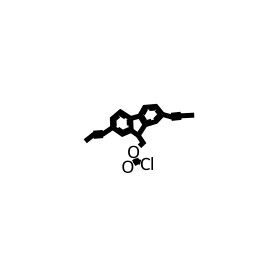 CC#Cc1ccc2c(c1)C(COC(=O)Cl)c1cc(C#CC)ccc1-2